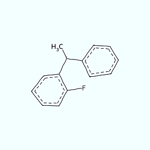 C[C](c1ccccc1)c1ccccc1F